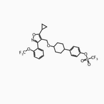 O=S(=O)(Oc1ccc(C2CCC(OCc3c(-c4ccccc4OC(F)(F)F)noc3C3CC3)CC2)cc1)C(F)(F)F